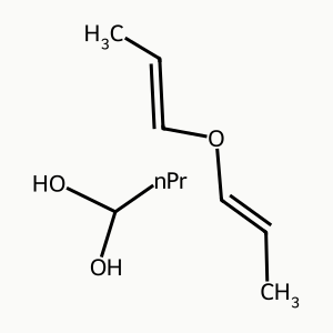 CC=COC=CC.CCCC(O)O